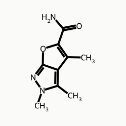 Cc1c(C(N)=O)oc2nn(C)c(C)c12